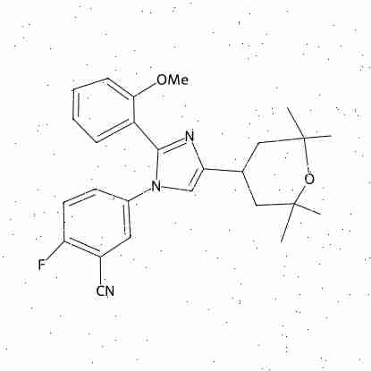 COc1ccccc1-c1nc(C2CC(C)(C)OC(C)(C)C2)cn1-c1ccc(F)c(C#N)c1